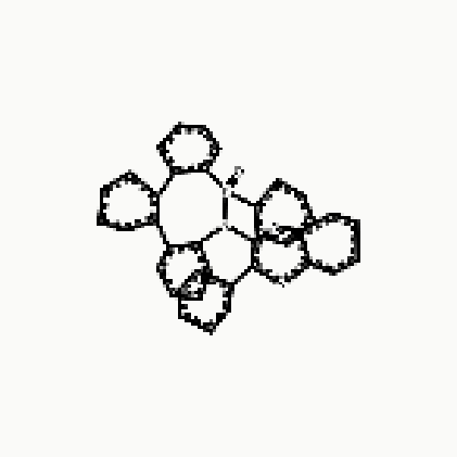 O=P1(c2ccccc2)c2ccccc2-c2ccccc2-c2ccccc2N1c1nc2ccccc2nc1-c1ccccc1